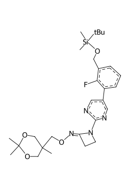 CC1(CON=C2CCN2c2ncc(-c3cccc(CO[Si](C)(C)C(C)(C)C)c3F)cn2)COC(C)(C)OC1